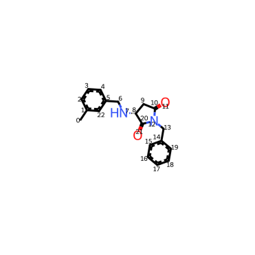 Cc1cccc(CN[C@@H]2CC(=O)N(Cc3ccccc3)C2=O)c1